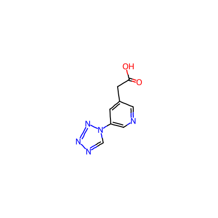 O=C(O)Cc1cncc(-n2cnnn2)c1